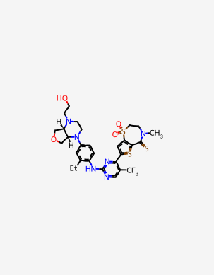 CCc1cc(N2CCN(CCO)[C@H]3COC[C@H]32)ccc1Nc1ncc(C(F)(F)F)c(-c2cc3c(s2)C(=S)N(C)CCS3(=O)=O)n1